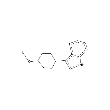 ISC1CCC(c2c[nH]c3ccccc23)CC1